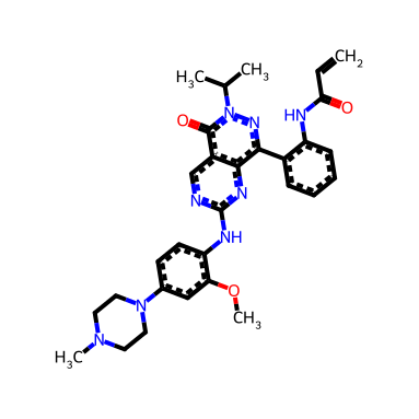 C=CC(=O)Nc1ccccc1-c1nn(C(C)C)c(=O)c2cnc(Nc3ccc(N4CCN(C)CC4)cc3OC)nc12